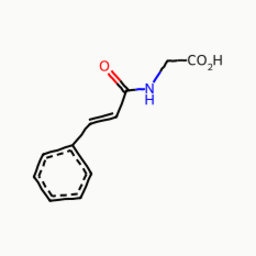 O=C(O)CNC(=O)C=Cc1ccccc1